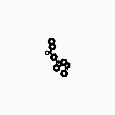 O=C(c1ccc(-n2c3ccccc3c3c4c(ccc32)ccn4-c2ccccc2)cc1)c1ccc2ccccc2c1